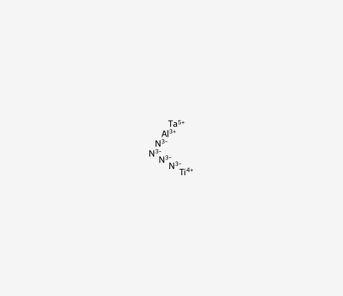 [Al+3].[N-3].[N-3].[N-3].[N-3].[Ta+5].[Ti+4]